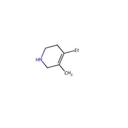 CCC1=C(C)CNCC1